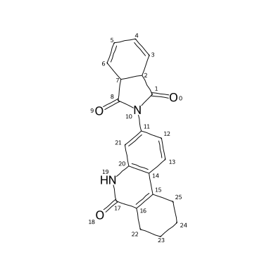 O=C1C2C=CC=CC2C(=O)N1c1ccc2c3c(c(=O)[nH]c2c1)CCCC3